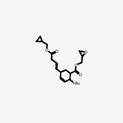 CCCCC1C=CC(/C=C/CC(=O)OCC2CC2)CC1C(=O)OCC1CO1